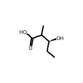 CC[C@H](O)C(C)C(=O)O